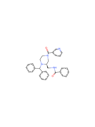 O=C(NC[C@@H]1CN(C(=O)c2cccnc2)CCN1C(c1ccccc1)c1ccccc1)c1ccccc1